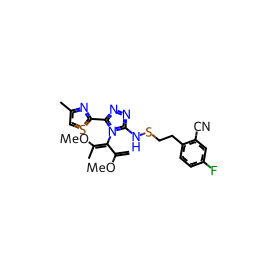 C=C(OC)/C(=C(\C)OC)n1c(NSCCc2ccc(F)cc2C#N)nnc1-c1nc(C)cs1